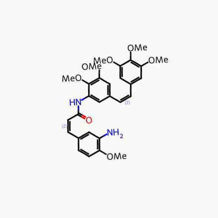 COc1ccc(/C=C\C(=O)Nc2cc(/C=C\c3cc(OC)c(OC)c(OC)c3)cc(OC)c2OC)cc1N